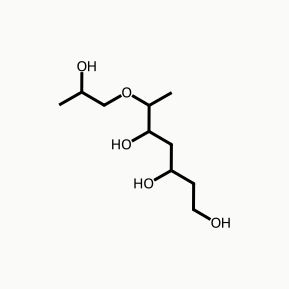 CC(O)COC(C)C(O)CC(O)CCO